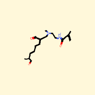 C=C(C)C(=O)NCCN(C)CC(C=O)CCCCC(C)C=O